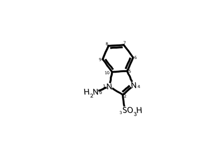 Nn1c(S(=O)(=O)O)nc2ccccc21